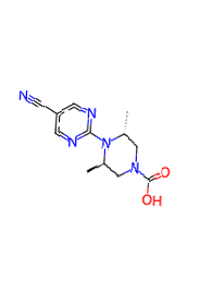 C[C@@H]1CN(C(=O)O)C[C@@H](C)N1c1ncc(C#N)cn1